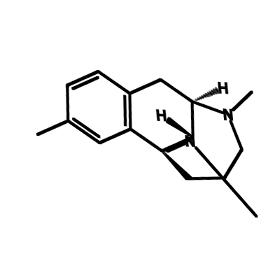 Cc1ccc2c(c1)[C@]13CCCN(C)[C@H](C2)[C@@H]1CN(C)CC3